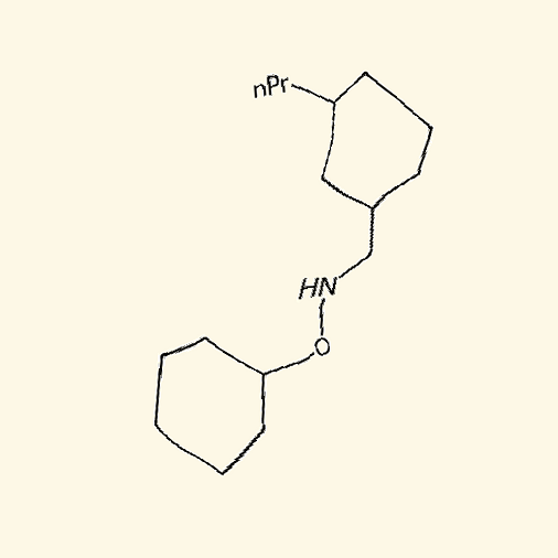 CCCC1CCCC(CNOC2CCCCC2)C1